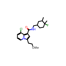 COCCc1cc(C(=O)NCC2CCC(C)(F)C(C)C2)c2c(Cl)cccn12